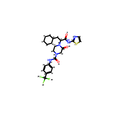 O=C(Nc1nccs1)C(CC1CCCCC1)N1CCN(C(=O)Nc2ccc(C(F)(F)F)cc2)CC1=O